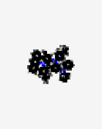 Cc1cc2c3c(c1)N(c1c4ccccc4cc4ccccc14)c1ccc(C(C)(C)C)cc1B3c1ccc(N(c3ccccc3)c3ccccc3)cc1N2c1ccc(C(C)(C)C)cc1